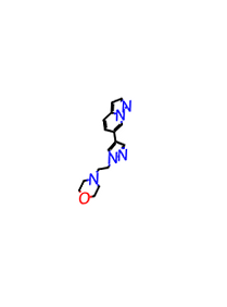 c1cc2ccc(-c3cnn(CCN4CCOCC4)c3)cn2n1